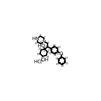 Cl.Cl.OC1(C(CN2CCNCC2)c2ccc(Oc3ccccc3)cc2)CCCCC1